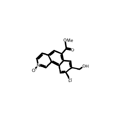 COC(=O)c1cc2cc[n+]([O-])cc2c2cc(Cl)c(CO)cc12